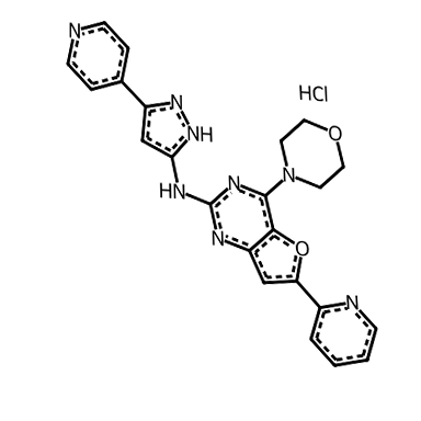 Cl.c1ccc(-c2cc3nc(Nc4cc(-c5ccncc5)n[nH]4)nc(N4CCOCC4)c3o2)nc1